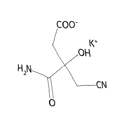 N#CCC(O)(CC(=O)[O-])C(N)=O.[K+]